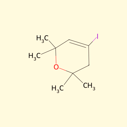 CC1(C)C=C(I)CC(C)(C)O1